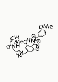 C#CC(=O)NCc1cnn(Cc2cc(OC)c3c(NS(=O)(=O)c4cccc(OC)c4)noc3c2)c1